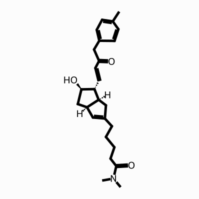 Cc1ccc(CC(=O)/C=C/[C@@H]2[C@H]3CC(CCCCC(=O)N(C)C)=C[C@H]3C[C@H]2O)cc1